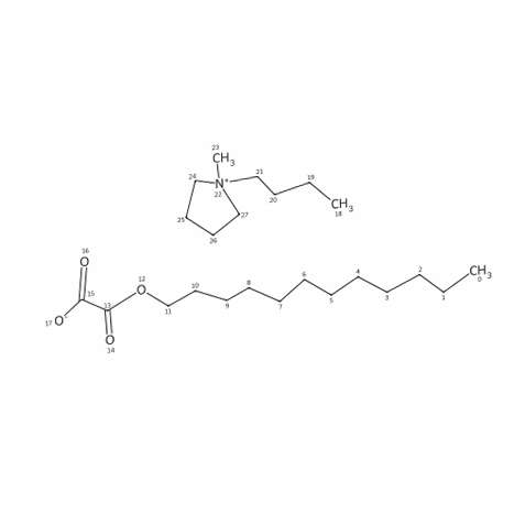 CCCCCCCCCCCCOC(=O)C(=O)[O-].CCCC[N+]1(C)CCCC1